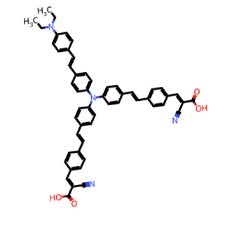 CCN(CC)c1ccc(/C=C/c2ccc(N(c3ccc(/C=C/c4ccc(/C=C(\C#N)C(=O)O)cc4)cc3)c3ccc(/C=C/c4ccc(/C=C(\C#N)C(=O)O)cc4)cc3)cc2)cc1